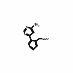 CNCc1ccccc1-c1cc(N)ncn1